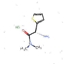 CN(C)C(=O)[C@@H](N)c1cccs1.Cl